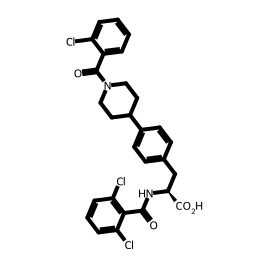 O=C(N[C@@H](Cc1ccc(C2CCN(C(=O)c3ccccc3Cl)CC2)cc1)C(=O)O)c1c(Cl)cccc1Cl